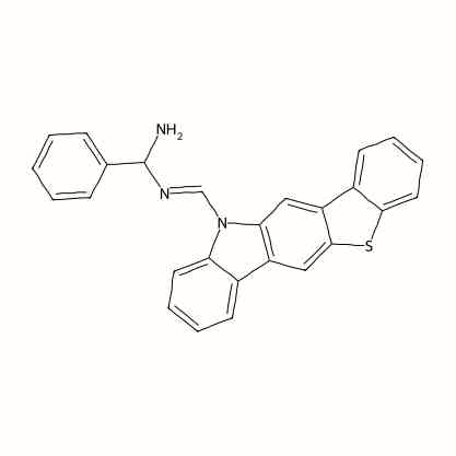 NC(/N=C/n1c2ccccc2c2cc3sc4ccccc4c3cc21)c1ccccc1